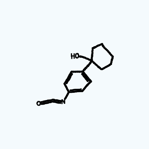 O=C=Nc1ccc(C2(O)CCCCC2)cc1